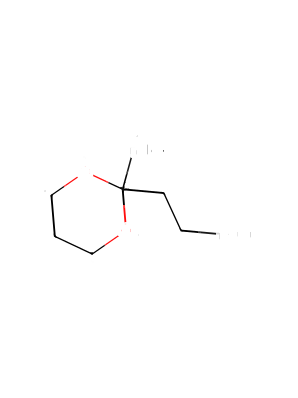 CCCCCCCCCCC1(CCCCCC)OCCCO1